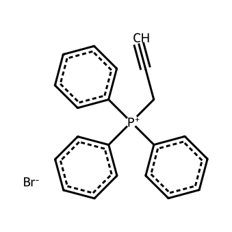 C#CC[P+](c1ccccc1)(c1ccccc1)c1ccccc1.[Br-]